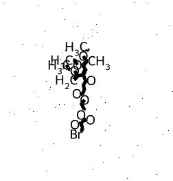 C=C(OCC)/C(=C\C(OCC)=C(/C)OCC)C(=O)CCC(=O)OCCOC(=O)C(=O)CBr